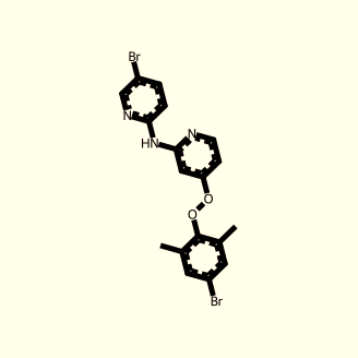 Cc1cc(Br)cc(C)c1OOc1ccnc(Nc2ccc(Br)cn2)c1